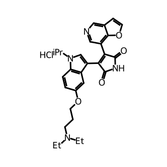 CCN(CC)CCCOc1ccc2c(c1)c(C1=C(c3cncc4ccoc34)C(=O)NC1=O)cn2C(C)C.Cl